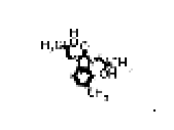 Cc1ccc2c(c1)n(CC(C)O)c(=O)n2CC(C)O